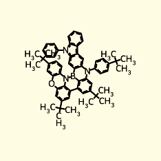 CC(C)(C)c1ccc(N2c3cc4c5ccccc5n(-c5ccccc5)c4cc3B3c4c(cc(C(C)(C)C)cc42)-c2cc(C(C)(C)C)cc4c2N3c2ccc(C(C)(C)C)cc2O4)cc1